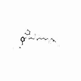 BC(=O)OCc1ccc(OC2CC(O)CC(C(=O)O)O2)c(NC(=O)CCNC(=O)C(N)CCCCNC(=O)C(C)(C)COC(C)(C)C)c1